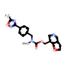 CON(Cc1ccc(-c2noc(C(F)(F)F)n2)cc1)C(=O)OCc1cncc2ccoc12